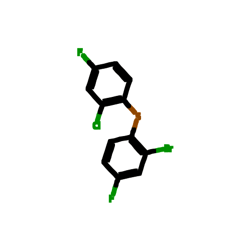 Fc1ccc(Sc2ccc(F)cc2Br)c(Cl)c1